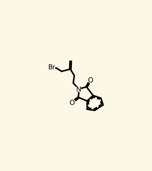 C=C(CBr)CCN1C(=O)c2ccccc2C1=O